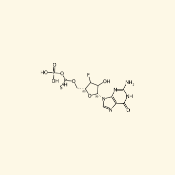 Nc1nc2c(ncn2[C@@H]2O[C@H](CO[PH](=S)OP(=O)(O)O)C(F)C2O)c(=O)[nH]1